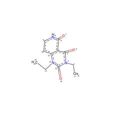 CCn1c(=O)c2c(=O)[nH]ccc2n(CC)c1=O